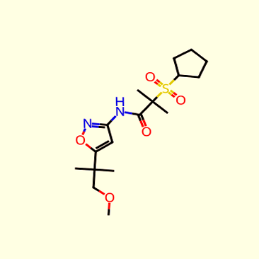 COCC(C)(C)c1cc(NC(=O)C(C)(C)S(=O)(=O)C2CCCC2)no1